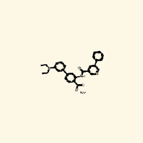 CCN(CC)c1cccc(-c2ccc(C(=O)[O-])c(NC(=O)c3cncc(-c4ccccc4)c3)c2)c1.[Na+]